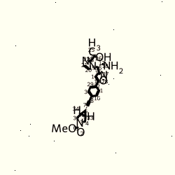 COC(=O)N1C[C@@H]2[C@@H](C#Cc3ccc(-c4cc([C@@H](CN)n5ccnc5[C@H](C)O)no4)cc3)[C@@H]2C1